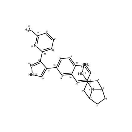 CNC1CC2CCC(C1)N2c1cnc2ccc(-c3c[nH]nc3-c3cccc(C)n3)nc2c1